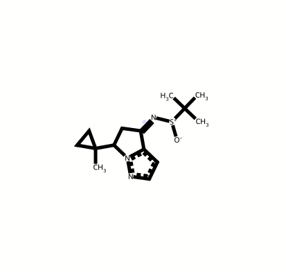 CC1(C2C/C(=N/[S+]([O-])C(C)(C)C)c3ccnn32)CC1